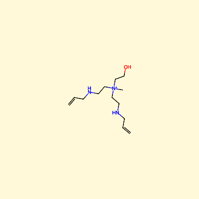 C=CCNCC[N+](C)(CCO)CCNCC=C